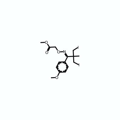 COC(=O)CO/N=C(\c1ccc(OC)cc1)C(C)(CI)CI